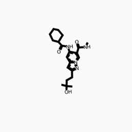 CNC(=O)c1cn2nc(CCC(C)(C)O)cc2cc1NC(=O)C1CCCCC1